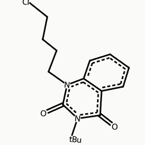 CC(C)(C)n1c(=O)c2ccccc2n(CCCCCl)c1=O